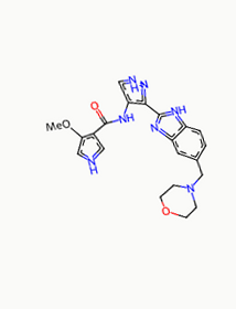 COc1c[nH]cc1C(=O)Nc1c[nH]nc1-c1nc2cc(CN3CCOCC3)ccc2[nH]1